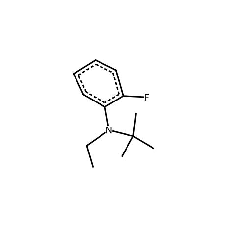 CCN(c1ccccc1F)C(C)(C)C